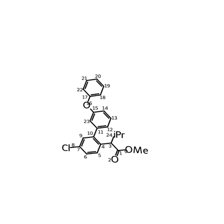 COC(=O)C(c1ccc(Cl)cc1-c1cccc(Oc2ccccc2)c1)C(C)C